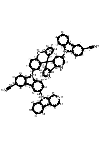 N#Cc1ccc2c(c1)c1ccccc1n2-c1cnc2c(c1)C1(c3ccccc3Oc3ccc(-n4c5ccc(C#N)cc5c5cc(-n6c7ccccc7c7ccncc76)ccc54)cc31)c1cccnc1-2